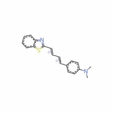 CN(C)c1ccc(/C=C/C=C/c2nc3ccccc3s2)cc1